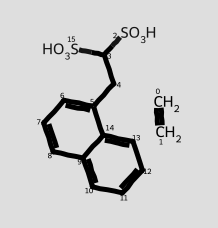 C=C.O=S(=O)(O)C(Cc1cccc2ccccc12)S(=O)(=O)O